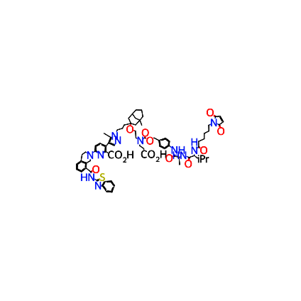 Cc1c(-c2ccc(N3CCc4cccc(C(=O)Nc5nc6ccccc6s5)c4C3)nc2C(=O)O)cnn1CCCC1(OCCN(CCC(=O)O)C(=O)OCc2ccc(NC(=O)[C@H](C)NC(=O)[C@@H](NC(=O)CCCCCN3C(=O)C=CC3=O)C(C)C)cc2)CC2CCCC(C)(C2)C1